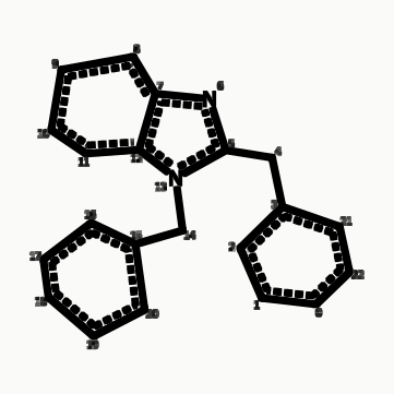 c1ccc(Cc2nc3ccccc3n2Cc2ccccc2)cc1